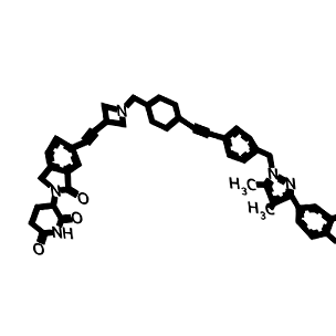 Cc1c(-c2ccc(C#N)c(Cl)c2)nn(Cc2ccc(C#CC3CCC(CN4CC(C#Cc5ccc6c(c5)C(=O)N(C5CCC(=O)NC5=O)C6)C4)CC3)cc2)c1C